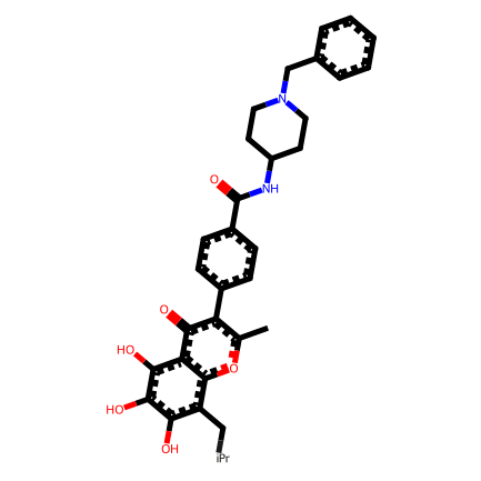 Cc1oc2c(CC(C)C)c(O)c(O)c(O)c2c(=O)c1-c1ccc(C(=O)NC2CCN(Cc3ccccc3)CC2)cc1